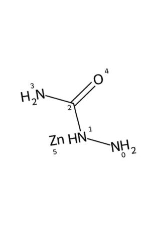 NNC(N)=O.[Zn]